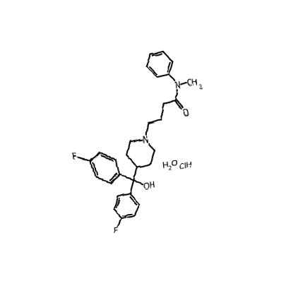 CN(C(=O)CCCN1CCC(C(O)(c2ccc(F)cc2)c2ccc(F)cc2)CC1)c1ccccc1.Cl.O